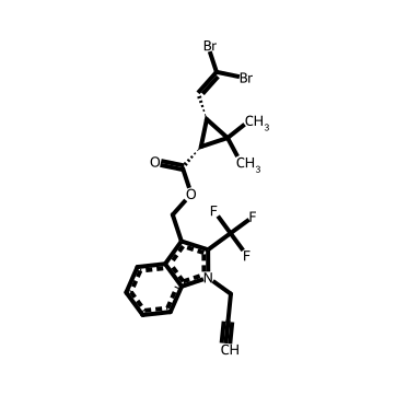 C#CCn1c(C(F)(F)F)c(COC(=O)[C@@H]2[C@H](C=C(Br)Br)C2(C)C)c2ccccc21